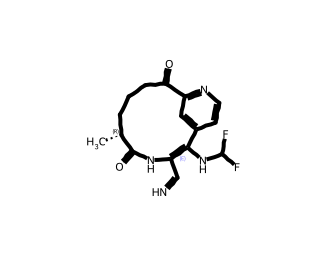 C[C@@H]1CCCC(=O)c2cc(ccn2)/C(NC(F)F)=C(/C=N)NC1=O